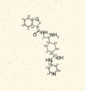 NC(CNC(=O)C1COc2ccccc21)C1CCC(C(O)Nc2ccncc2)CC1